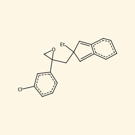 CCC1(CC2(c3cccc(Cl)c3)CO2)C=c2ccccc2=C1